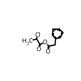 [CH2]C(Cl)C(=O)OC(=O)Cc1ccccc1